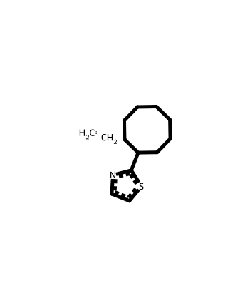 [CH2].[CH2].c1csc([C]2CCCCCCC2)n1